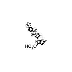 CCOc1ccc(S(=O)(=O)N2C[C@@H](I)[C@@H](n3nc(CC(=O)O)c4ccc(C)nc43)C2)cc1